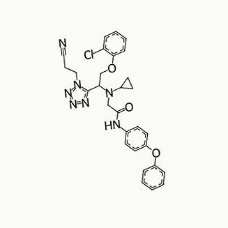 N#CCCn1nnnc1C(COc1ccccc1Cl)N(CC(=O)Nc1ccc(Oc2ccccc2)cc1)C1CC1